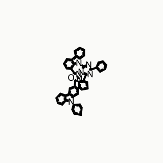 c1ccc(-c2nc(-c3ccccc3)nc(-n3c4ccccc4c4cccc(-c5nnc(-c6ccc7c(c6)c6ccccc6n7-c6ccccc6)o5)c43)n2)cc1